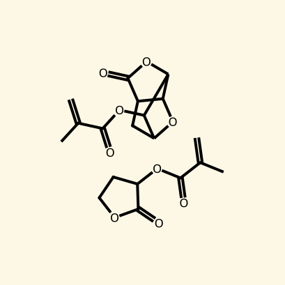 C=C(C)C(=O)OC1C2CC3C(=O)OC1C3O2.C=C(C)C(=O)OC1CCOC1=O